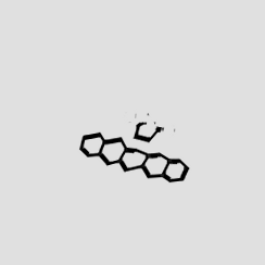 O=C1C=CC(=O)N1.c1ccc2cc3cc4cc5ccccc5cc4cc3cc2c1